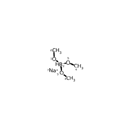 CO[BH-](OC)OC.[Na+]